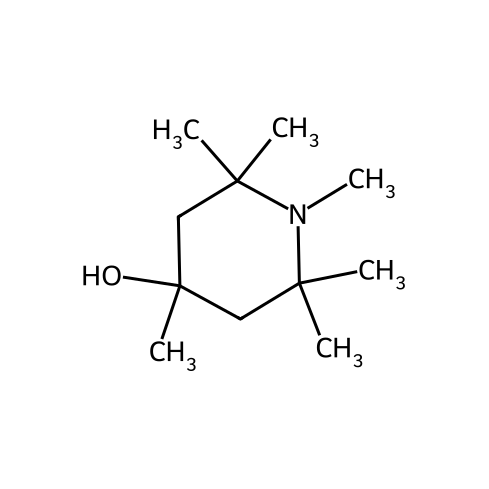 CN1C(C)(C)CC(C)(O)CC1(C)C